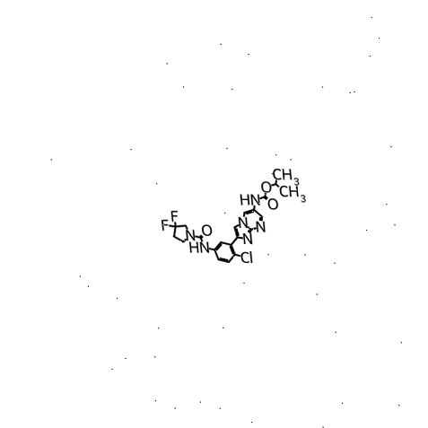 CC(C)OC(=O)Nc1cnc2nc(-c3cc(NC(=O)N4CCC(F)(F)C4)ccc3Cl)cn2c1